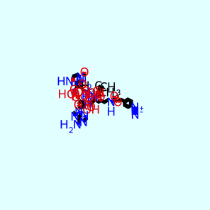 CC(C)(C)OC(=O)N[C@@H](CCCCNC(=O)OCc1ccc(N=[N+]=[N-])cc1)C(=O)O[C@H]1[C@@H](O)[C@H](n2cnc3c(N)ncnc32)O[C@@H]1COP(=O)(O)O[C@H]1C[C@H](N(C=O)/C=C\C(=N)N)O[C@@H]1CO[PH](O)(O)O